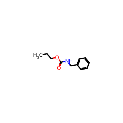 CCCOC(=O)N[CH]c1ccccc1